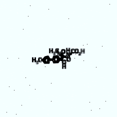 Cc1ccc(-c2ccc3c(O)c(C(=O)NCC(=O)O)c(=O)n(C)c3c2)cc1